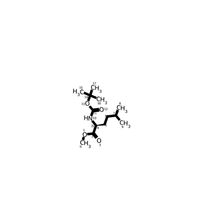 COC(=O)[C@H](CCC(C)C)NC(=O)OC(C)(C)C